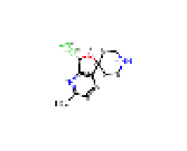 Cc1ccc2c(n1)COC21CCNCC1.Cl.Cl